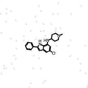 CN1CCC(Nc2cc(Cl)cc3cc(-c4ccccc4)[nH]c23)CC1